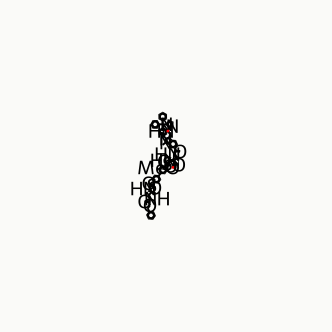 COC(=O)[C@H](CNC(=O)c1ccc2c(CNc3nccn3C(c3ccccc3)(c3ccccc3)c3ccccc3)nn(C)c2c1)NS(=O)(=O)c1ccc(-c2ccc(S(=O)(=O)NCCNC(=O)OCc3ccccc3)cc2)cc1